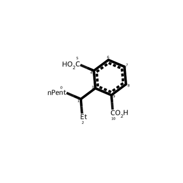 CCCCCC(CC)c1c(C(=O)O)cccc1C(=O)O